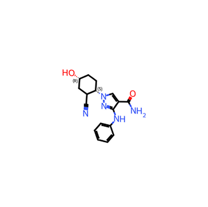 N#CC1C[C@H](O)CC[C@@H]1n1cc(C(N)=O)c(Nc2ccccc2)n1